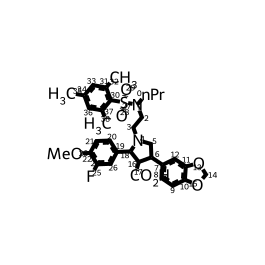 CCCN(CCN1CC(c2ccc3c(c2)OCO3)C(C(=O)O)C1c1ccc(OC)c(F)c1)S(=O)(=O)c1c(C)cc(C)cc1C